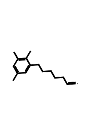 [CH]=CCCCCCc1cc(C)cc(C)c1C